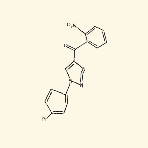 CC(C)c1ccc(-n2cc(C(=O)c3ccccc3[N+](=O)[O-])nn2)cc1